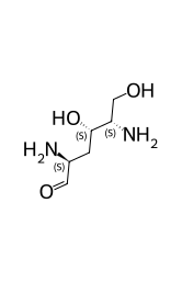 N[C@H](C=O)C[C@H](O)[C@@H](N)CO